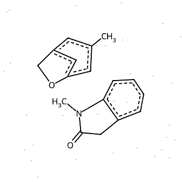 CN1C(=O)Cc2ccccc21.Cc1cc2cc(c1)OC2